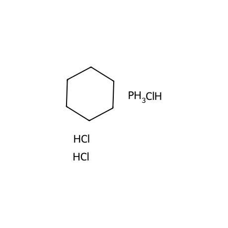 C1CCCCC1.Cl.Cl.Cl.P